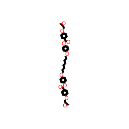 O=C(Oc1ccc(OCCCCCCCCOc2ccc(OC(=O)c3ccc(OCC4CO4)cc3)cc2)cc1)c1ccc(OCC2CO2)cc1